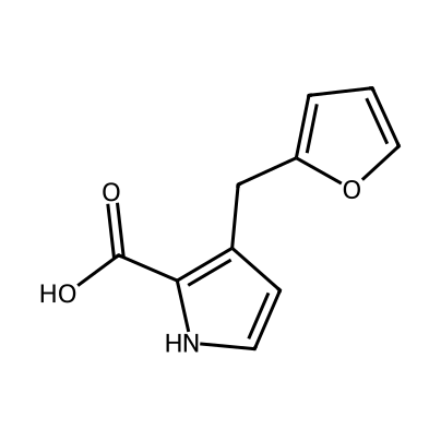 O=C(O)c1[nH]ccc1Cc1ccco1